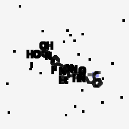 C/C=C(/C)c1ccccc1CCNC(=O)c1cc(CC)c2nc(-c3ccc(N4C[C@H](O)[C@@H](O)C4)cc3F)cn2n1